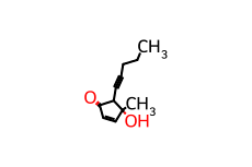 CCCC#CC1C(=O)C=CC1(C)O